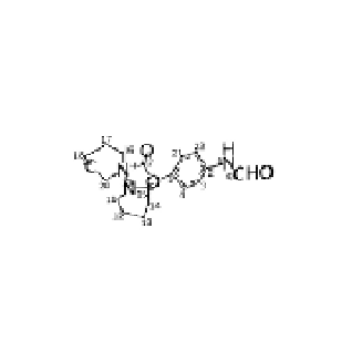 O=CNc1ccc(OC(=O)[N+]2(N3CCCCC3)CCCCC2)cc1